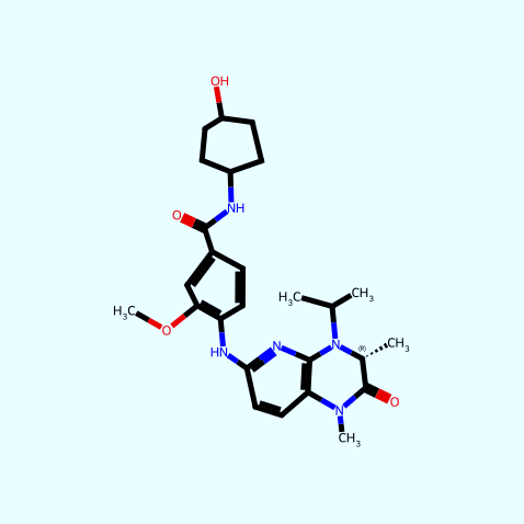 COc1cc(C(=O)NC2CCC(O)CC2)ccc1Nc1ccc2c(n1)N(C(C)C)[C@H](C)C(=O)N2C